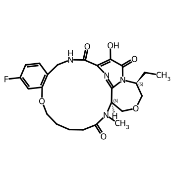 CC[C@H]1COC[C@@H]2c3nc(c(O)c(=O)n31)C(=O)NCc1ccc(F)cc1OCCCCC(=O)N2C